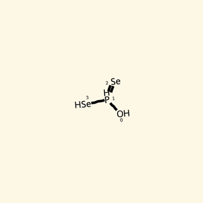 O[PH](=[Se])[SeH]